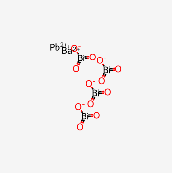 [Ba+2].[O]=[Bi](=[O])[O-].[O]=[Bi](=[O])[O-].[O]=[Bi](=[O])[O-].[O]=[Bi](=[O])[O-].[Pb+2]